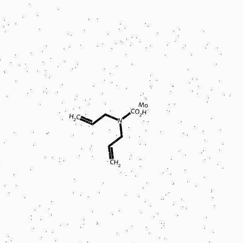 C=CCN(CC=C)C(=O)O.[Mo]